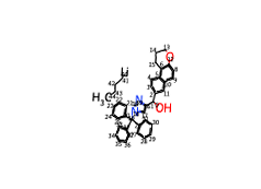 OC(c1ccc2c3c(ccc2c1)OCCC3)c1cn(C(c2ccccc2)(c2ccccc2)c2ccccc2)cn1.[Li][CH2]CCC